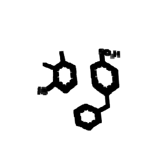 Cc1cccc(S)c1C.O=S(=O)(O)c1ccc(Cc2ccccc2)cc1